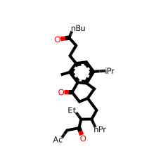 CCCCC(=O)CCc1cc(C(C)C)c2c(c1C)C(=O)CC(CC(CCC)C(CC)C(=O)CC(C)=O)C2